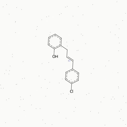 Oc1ccccc1C/C=C/c1ccc(Cl)cc1